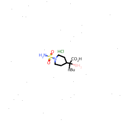 BC(CCCC)(C(=O)O)C1CCN(S(N)(=O)=O)CC1.Cl